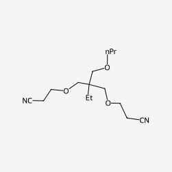 CCCOCC(CC)(COCCC#N)COCCC#N